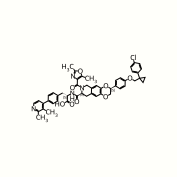 Cc1nc(C(=O)N2Cc3cc4c(cc3C[C@H]2C(=O)N[C@@H](Cc2ccc(-c3ccnc(C)c3C)cc2)C(=O)O)OC[C@H](c2ccc(OCC3(c5ccc(Cl)cc5)CC3)cc2)O4)c(C)o1